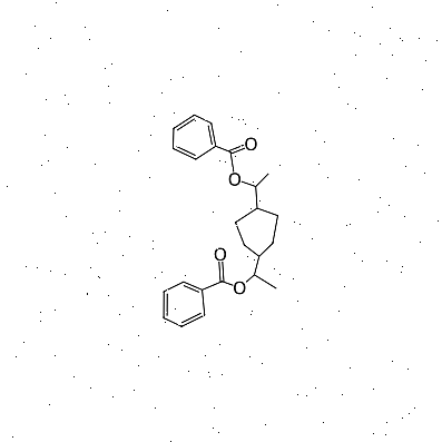 CC(OC(=O)c1ccccc1)C1CCC(C(C)OC(=O)c2ccccc2)CC1